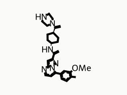 C=C(N[C@H]1CC[C@H](C(=C)N2CCNCC2)CC1)c1cc2nccc(-c3ccc(C)c(OC)c3)n2n1